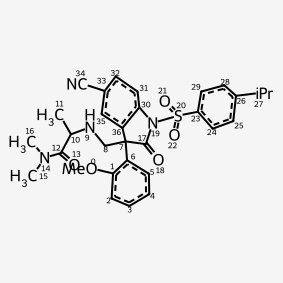 COc1ccccc1C1(CNC(C)C(=O)N(C)C)C(=O)N(S(=O)(=O)c2ccc(C(C)C)cc2)c2ccc(C#N)cc21